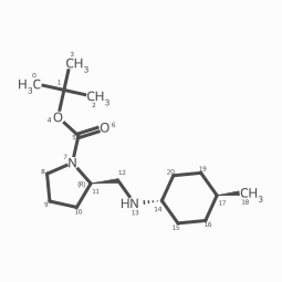 CC(C)(C)OC(=O)N1CCC[C@@H]1CN[C@H]1CC[C@H](C)CC1